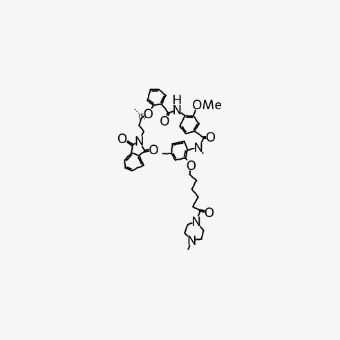 COc1cc(C(=O)N(C)c2ccc(C)cc2OCCCCCC(=O)N2CCN(C)CC2)ccc1NC(=O)c1ccccc1O[C@@H](C)CCN1C(=O)c2ccccc2C1=O